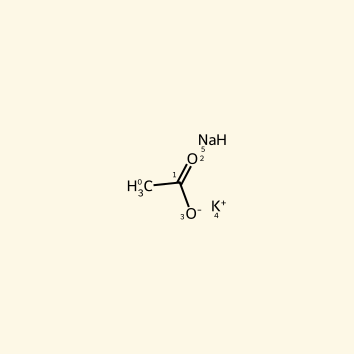 CC(=O)[O-].[K+].[NaH]